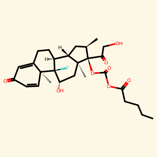 CCCCC(=O)OC(=O)O[C@]1(C(=O)CO)[C@H](C)C[C@H]2[C@@H]3CCC4=CC(=O)C=C[C@]4(C)[C@@]3(F)[C@@H](O)C[C@@]21C